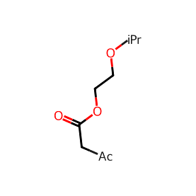 CC(=O)CC(=O)OCCOC(C)C